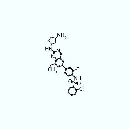 CCc1cc(-c2ccc(NS(=O)(=O)c3ccccc3Cl)c(F)c2)cc2cnc(N[C@@H]3CC[C@@H](N)C3)nc12